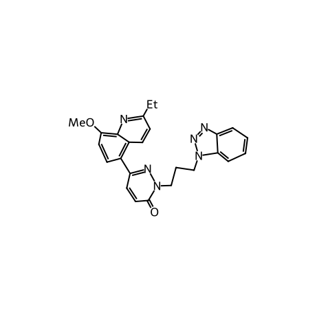 CCc1ccc2c(-c3ccc(=O)n(CCCn4nnc5ccccc54)n3)ccc(OC)c2n1